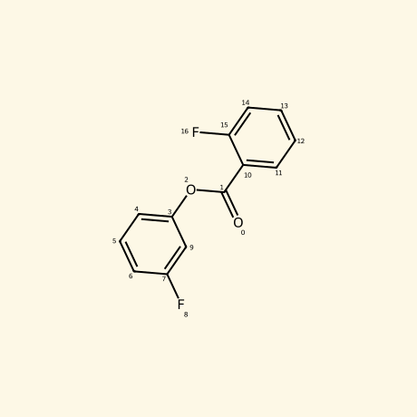 O=C(Oc1cccc(F)c1)c1ccccc1F